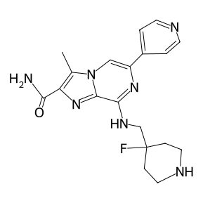 Cc1c(C(N)=O)nc2c(NCC3(F)CCNCC3)nc(-c3ccncc3)cn12